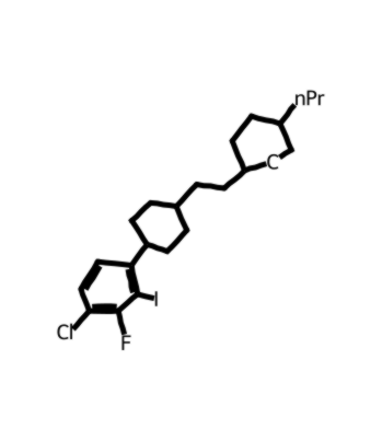 CCCC1CCC(CCC2CCC(c3ccc(Cl)c(F)c3I)CC2)CC1